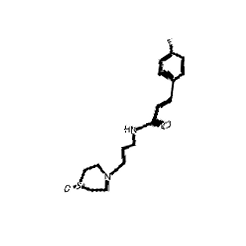 O=C(C=Cc1ccc(F)cc1)NCCCN1CC[S+]([O-])CC1